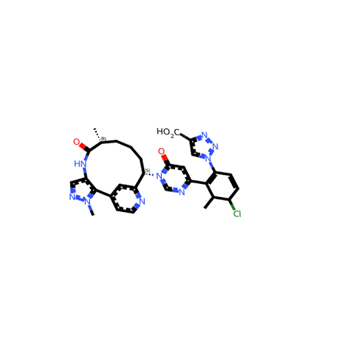 CC1C(c2cc(=O)n([C@H]3CCC[C@@H](C)C(=O)Nc4cnn(C)c4-c4ccnc3c4)cn2)=C(n2cc(C(=O)O)nn2)C=CC1Cl